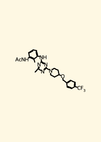 CC(=O)Nc1cccc(Nc2nc(C)nc(N3CCC(OCc4ccc(C(F)(F)F)cc4)CC3)n2)c1C